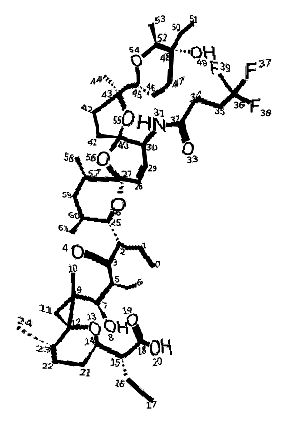 CCC(C(=O)[C@@H](C)[C@@H](O)C1(C)C[C@]12O[C@@H]([C@@H](CC)C(=O)O)CC[C@@H]2C)[C@H]1O[C@]2(C=CC(NC(=O)CCC(F)(F)F)[C@]3(CC[C@@](C)([C@H]4CC[C@](O)(CC)[C@H](C)O4)O3)O2)[C@H](C)C[C@@H]1C